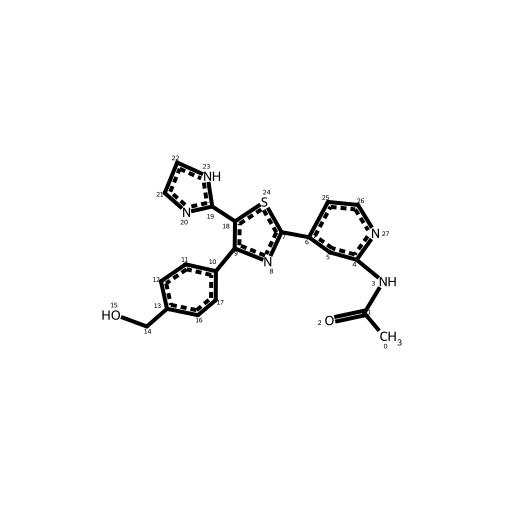 CC(=O)Nc1cc(-c2nc(-c3ccc(CO)cc3)c(-c3ncc[nH]3)s2)ccn1